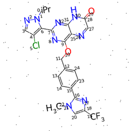 CC(C)n1ncc(Cl)c1-c1nc(OCc2ccc(-c3nc(C(F)(F)F)cn3C)cc2)c2ncc(=O)[nH]c2n1